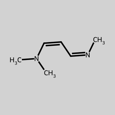 C/N=C\C=C/N(C)C